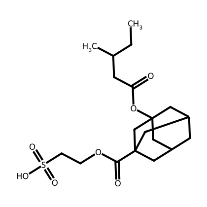 CCC(C)CC(=O)OC12CC3CC(C1)CC(C(=O)OCCS(=O)(=O)O)(C3)C2